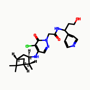 C[C@@H]1[C@H]2C[C@@H](C[C@H]1Nc1cnn(CC(=O)NC(CCO)c3ccncc3)c(=O)c1Cl)C2(C)C